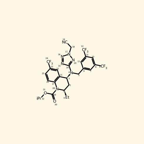 CC[C@@H]1C[C@H](N(Cc2cc(C(F)(F)F)cc(C(F)(F)F)c2)c2nnn(CC#N)n2)c2cc(C(F)(F)F)ccc2N1C(=O)OC(C)C